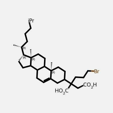 CC(C)CCC[C@@H](C)[C@H]1CCC2C3CC=C4CC(C(CCCBr)(CC(=O)O)C(=O)O)CC[C@]4(C)C3CC[C@@]21C